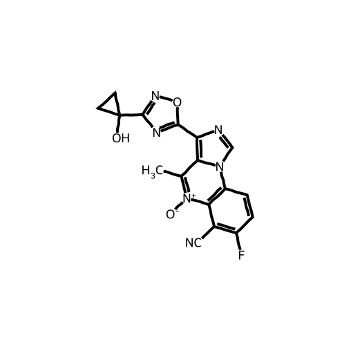 Cc1c2c(-c3nc(C4(O)CC4)no3)ncn2c2ccc(F)c(C#N)c2[n+]1[O-]